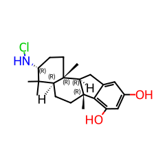 CC1(C)[C@H](NCl)CC[C@]2(C)[C@H]3Cc4cc(O)cc(O)c4[C@]3(C)CC[C@@H]12